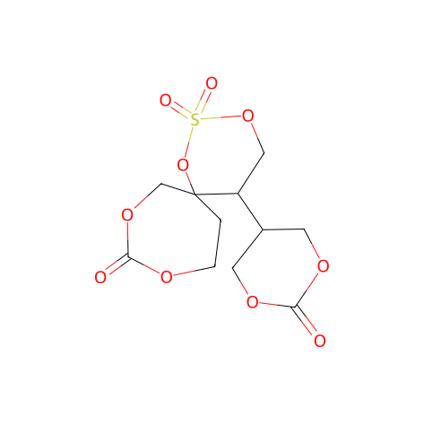 O=C1OCC(C2COS(=O)(=O)OC23CCOC(=O)OC3)CO1